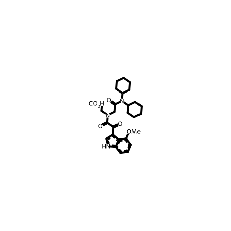 COc1cccc2[nH]cc(C(=O)C(=O)N(CC(=O)O)CC(=O)N(C3CCCCC3)C3CCCCC3)c12